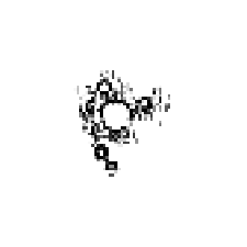 CC[C@H]1OC(=O)[C@H](C)[C@@H](O[C@H]2C[C@@](C)(OC)[C@@H](O)[C@H](C)O2)[C@H](C)[C@@H](O[C@@H]2C[C@H](C)C[C@H](N(C)CCc3cn(CCCOc4ccc(-c5ccoc5)cc4)nn3)[C@H]2O)[C@](C)(O)C[C@@H](C)CN(C)[C@H](C)[C@@H](O)[C@]1(C)O